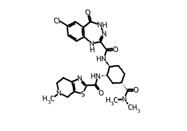 CN1CCc2nc(C(=O)N[C@H]3C[C@@H](C(=O)N(C)C)CC[C@@H]3NC(=O)C3=NNC(=O)c4cc(Cl)ccc4N3)sc2C1